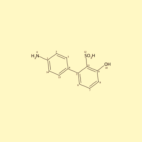 Nc1ccc(-c2cccc(O)c2S(=O)(=O)O)cc1